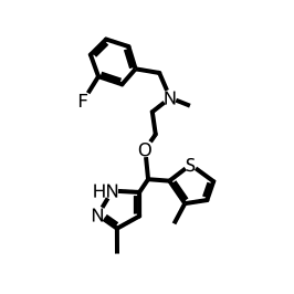 Cc1cc(C(OCCN(C)Cc2cccc(F)c2)c2sccc2C)[nH]n1